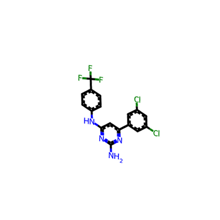 Nc1nc(Nc2ccc(C(F)(F)F)cc2)cc(-c2cc(Cl)cc(Cl)c2)n1